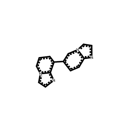 c1cc(-c2ccc3nccn3c2)c2nccn2c1